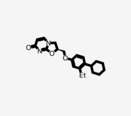 CCc1cc(OC[C@@H]2Cn3ccc(=O)nc3O2)ccc1C1CCCCC1